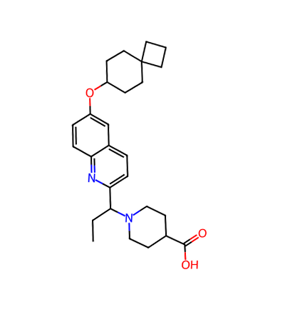 CCC(c1ccc2cc(OC3CCC4(CCC4)CC3)ccc2n1)N1CCC(C(=O)O)CC1